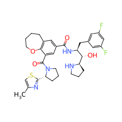 Cc1csc([C@H]2CCCN2C(=O)c2cc(C(=O)N[C@@H](Cc3cc(F)cc(F)c3)[C@H](O)[C@H]3CCCN3)cc3c2OCCCC3)n1